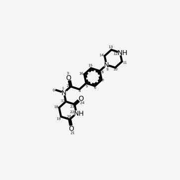 CN(C(=O)Cc1ccc(N2CCNCC2)cc1)C1CCC(=O)NC1=O